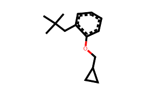 CC(C)(C)Cc1ccccc1OCC1CC1